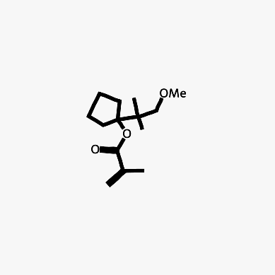 C=C(C)C(=O)OC1(C(C)(C)COC)CCCC1